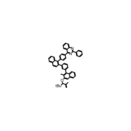 C=C(C)C(Oc1cc2ccccc2c(-c2cccc(-c3ccc4ccccc4c3-c3ccc(-c4nc(-c5ccccc5)nc5ccccc45)cc3)c2)c1C)C(C)(C)C